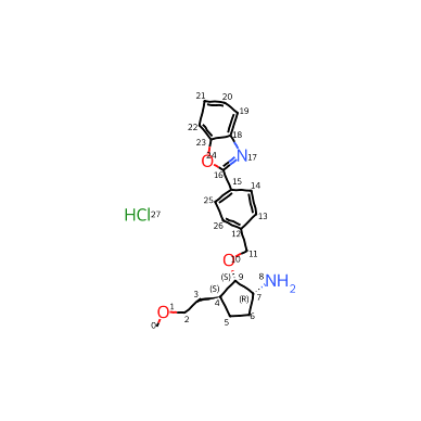 COCC[C@@H]1CC[C@@H](N)[C@H]1OCc1ccc(-c2nc3ccccc3o2)cc1.Cl